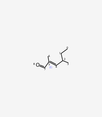 CCC(C)/C=C(\C)C=O